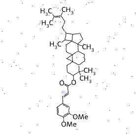 COc1ccc(/C=C/C(=O)OC2CCC34CC35CCC36C(C)C(CCC(C)=C(C)C)C3CCC6(C)C5CCC4C2(C)C)cc1OC